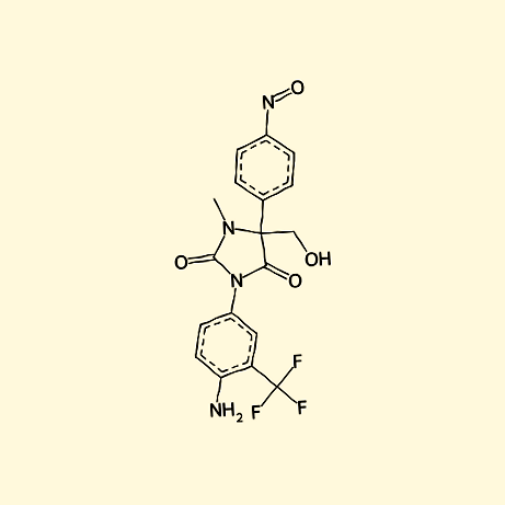 CN1C(=O)N(c2ccc(N)c(C(F)(F)F)c2)C(=O)C1(CO)c1ccc(N=O)cc1